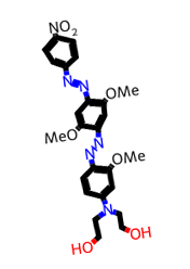 COc1cc(N=Nc2ccc(N(CCO)CCO)cc2OC)c(OC)cc1N=Nc1ccc([N+](=O)[O-])cc1